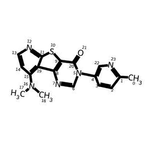 Cc1ccc(-n2cnc3c(sc4nccc(N(C)C)c43)c2=O)cn1